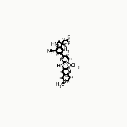 COc1nc2c(cc1Nc1nccc(-c3cc(C#N)c4c(c3)C(C)(CC(F)F)CN4)n1)CN(C)CC2